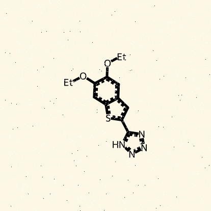 CCOc1cc2cc(-c3nnn[nH]3)sc2cc1OCC